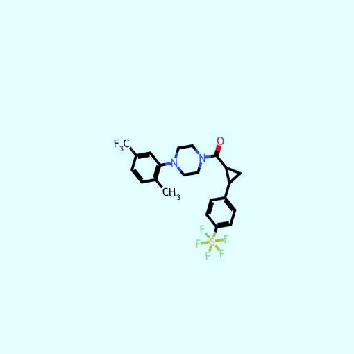 Cc1ccc(C(F)(F)F)cc1N1CCN(C(=O)C2CC2c2ccc(S(F)(F)(F)(F)F)cc2)CC1